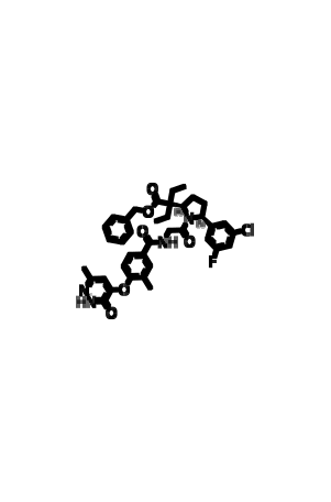 CCC(CC)(C(=O)OCc1ccccc1)[C@H]1CC[C@@H](c2cc(F)cc(Cl)c2)N1C(=O)CNC(=O)c1ccc(Oc2cc(C)n[nH]c2=O)c(C)c1